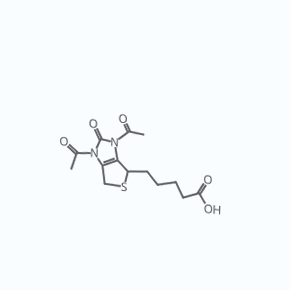 CC(=O)n1c2c(n(C(C)=O)c1=O)C(CCCCC(=O)O)SC2